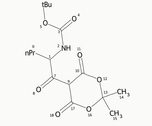 CCCC(NC(=O)OC(C)(C)C)C(=O)C1C(=O)OC(C)(C)OC1=O